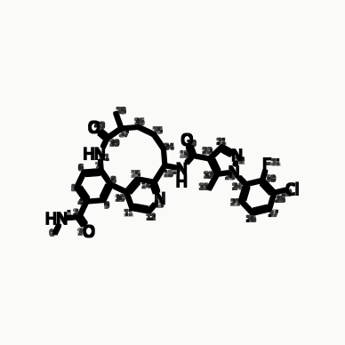 CNC(=O)c1ccc2c(c1)-c1ccnc(c1)C(NC(=O)c1cnn(-c3cccc(Cl)c3F)c1C)CCCC(C)C(=O)N2